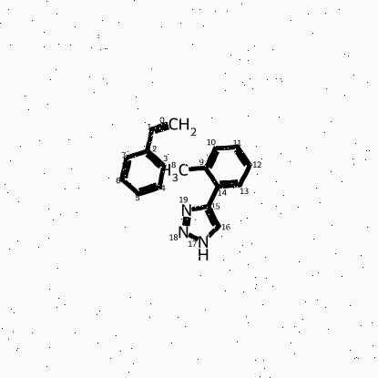 C=Cc1ccccc1.Cc1ccccc1-c1c[nH]nn1